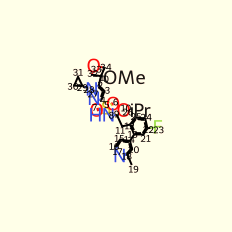 COC1(c2cc(S(=O)(=O)NC(=O)Cc3c(-c4ccnc(C)c4)cc(F)cc3C(C)C)nn2C2CC2)COC1